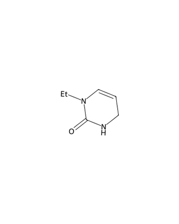 CCN1C=CCNC1=O